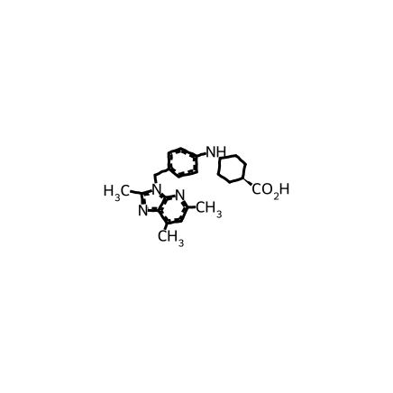 Cc1cc(C)c2nc(C)n(Cc3ccc(N[C@H]4CC[C@H](C(=O)O)CC4)cc3)c2n1